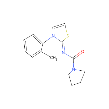 Cc1ccccc1-n1ccsc1=NC(=O)N1CCCC1